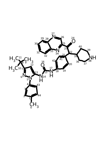 Cc1ccc(-n2nc(C(C)(C)C)cc2NC(=O)Nc2ccc(C(C(=O)c3cnc4ccccc4n3)C3CCNCC3)cc2)cc1